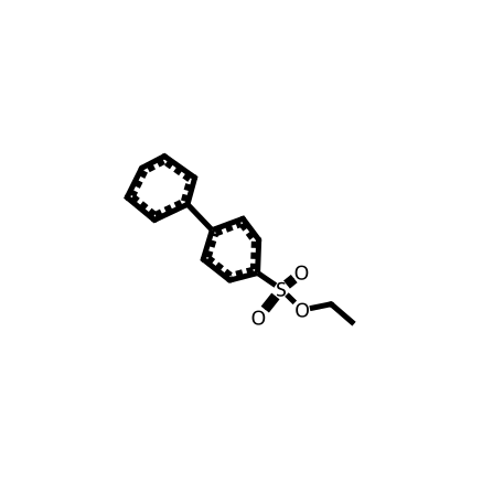 CCOS(=O)(=O)c1ccc(-c2ccccc2)cc1